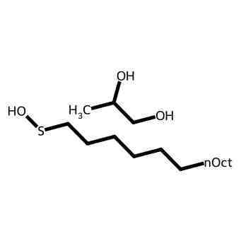 CC(O)CO.CCCCCCCCCCCCCCSO